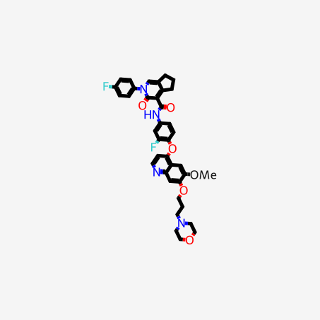 COc1cc2c(Oc3ccc(NC(=O)c4c5c(cn(-c6ccc(F)cc6)c4=O)CCC5)cc3F)ccnc2cc1OCCCN1CCOCC1